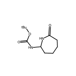 CC(C)(C)OC(=O)NC1CCCCC(=O)N1